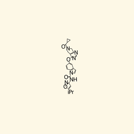 CC(C)c1cc(NC(=O)n2ccc3cc(Oc4ncnc5c4CN(C(=O)C4CC4)C5)ccc32)no1